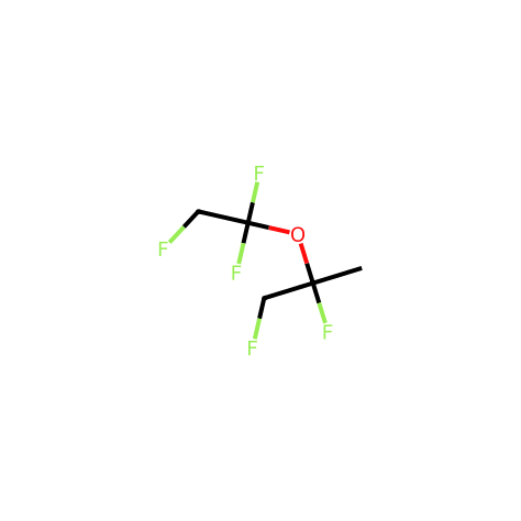 CC(F)(CF)OC(F)(F)CF